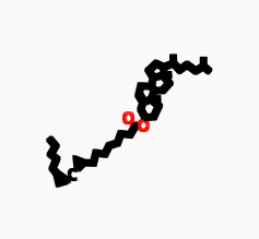 CCCCCC1CC1CC1CC1CCCCCCCC(=O)OC1CCC2(C)C(=CCC3C2CCC2(C)C(C(C)CCCC(C)C)CCC32)C1